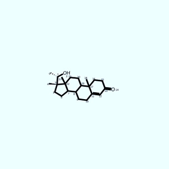 C[C@H](O)[C@@]1(C)CCC2C3CCC4=CC(=O)CCC4(C)C3CCC21C